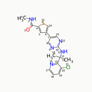 CNC(=O)c1cc(-c2cnc(NC(C)(C)c3ncccc3Cl)nc2)cs1